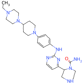 CCN1CCN(C2CCN(c3ccc(Nc4nccc(C5CNCCN5C(N)=O)n4)cc3)CC2)CC1